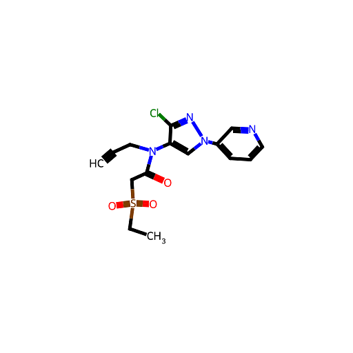 C#CCN(C(=O)CS(=O)(=O)CC)c1cn(-c2cccnc2)nc1Cl